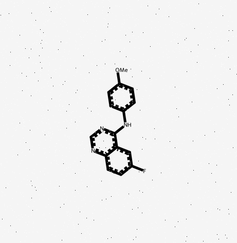 COc1ccc(Nc2ncnc3ccc(F)cc23)cc1